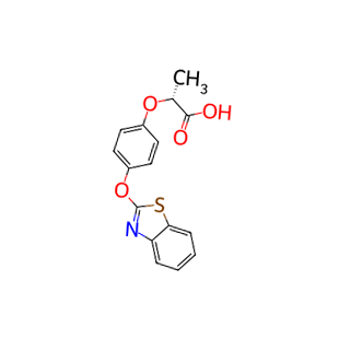 C[C@@H](Oc1ccc(Oc2nc3ccccc3s2)cc1)C(=O)O